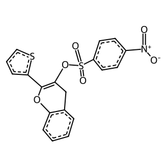 O=[N+]([O-])c1ccc(S(=O)(=O)OC2=C(c3cccs3)Oc3ccccc3C2)cc1